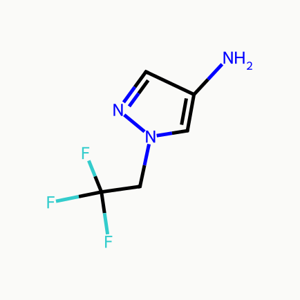 Nc1cnn(CC(F)(F)F)c1